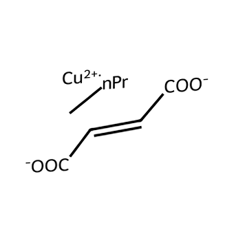 CCCC.O=C([O-])/C=C/C(=O)[O-].[Cu+2]